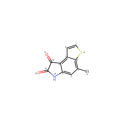 CCc1cc2c(c3ccsc13)C(=O)C(=O)N2